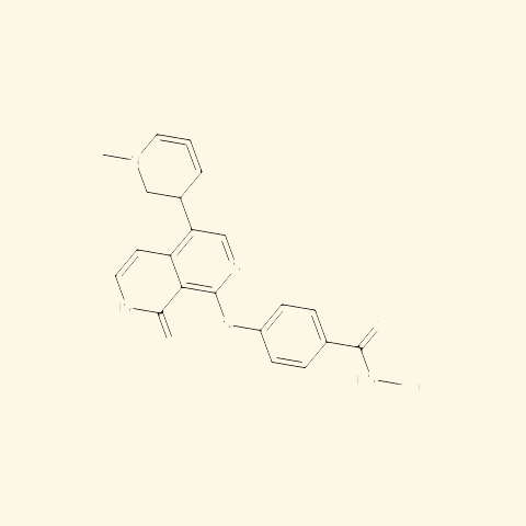 CCCNC(=O)c1ccc(Nc2ncc(C3C=C=CN(C)C3)c3cc[nH]c(=O)c23)cc1